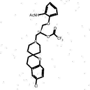 CC(=O)Nc1ccccc1OC[C@H](CN1CCC2(CCc3cc(Cl)ccc3O2)CC1)OC(=O)C(F)(F)F